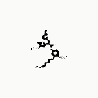 CCCCCCCCCCCCCCCc1cc(OC(=O)C(Cc2ccc(C)s2)c2cc(CCCCCC)c(C)s2)ccc1S(=O)(=O)O